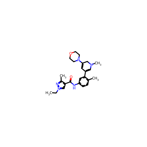 CCn1cc(C(=O)Nc2ccc(C)c(C3=CN(C)CC(N4CCOCC4)=C3)c2)c(C)n1